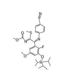 COC(=O)N=C(SC)C(=Nc1ccc(C#N)cc1)c1cc(OC)cc(O[Si](C(C)C)(C(C)C)C(C)C)c1F